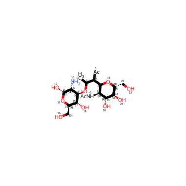 CC(=O)N[C@H]1C([C](C(C)=O)C(C)O[C@@H]2[C@@H](N)[C@@H](O)O[C@H](CO)[C@H]2O)O[C@H](CO)[C@@H](O)[C@@H]1O